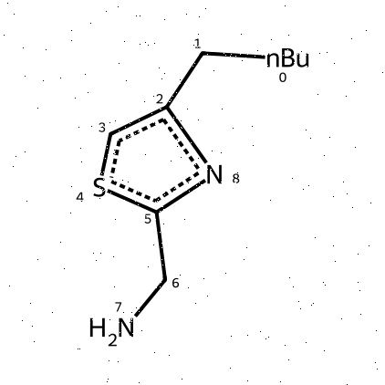 CCCCCc1csc(CN)n1